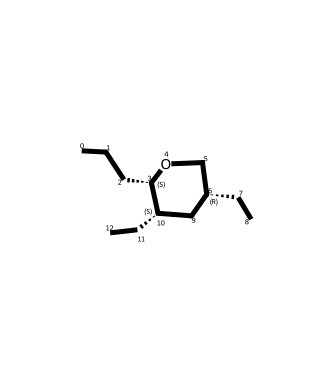 CCC[C@@H]1OC[C@H](CC)C[C@@H]1CC